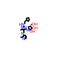 Cc1nc(NCCC2CCCC2)nc(NC2C[C@H](CO)[C@@H](O)[C@H]2O)c1-c1nc2c(C)nccc2s1